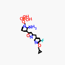 NC1C(c2cc(Cc3cnc(OCC4CC4)c(F)c3)no2)=CC=CN1COP(=O)(O)O